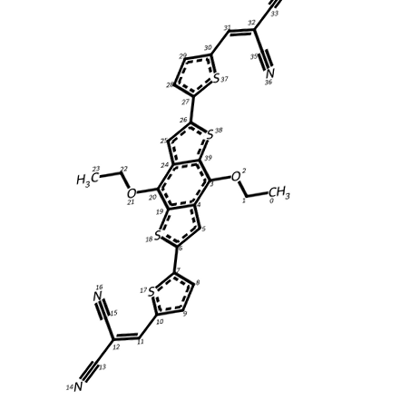 CCOc1c2cc(-c3ccc(C=C(C#N)C#N)s3)sc2c(OCC)c2cc(-c3ccc(C=C(C#N)C#N)s3)sc12